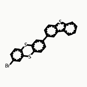 Brc1ccc2c(c1)Sc1ccc(-c3ccc4sc5ccccc5c4c3)cc1S2